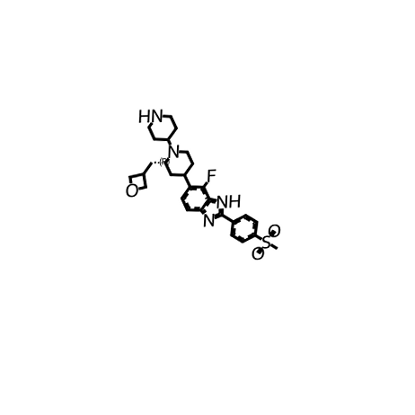 CS(=O)(=O)c1ccc(-c2nc3ccc(C4CCN(C5CCNCC5)[C@@H](CC5COC5)C4)c(F)c3[nH]2)cc1